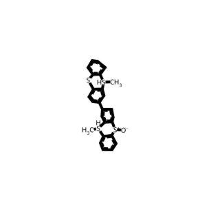 C[SH]1c2ccccc2Sc2ccc(-c3ccc4c(c3)[SH](C)c3ccccc3[S+]4[O-])cc21